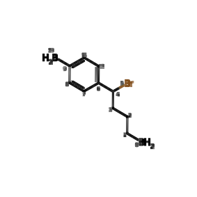 BCCCC(Br)c1ccc(B)cc1